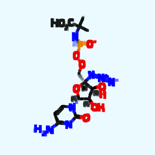 CC(C)(/N=[P+](\[O-])OOC[C@@]1(N=[N+]=[N-])O[C@@H](n2ccc(N)nc2=O)[C@H](O)[C@@H]1O)C(=O)O